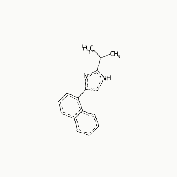 CC(C)c1nc(-c2cccc3ccccc23)c[nH]1